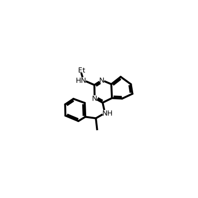 CCNc1nc(NC(C)c2ccccc2)c2ccccc2n1